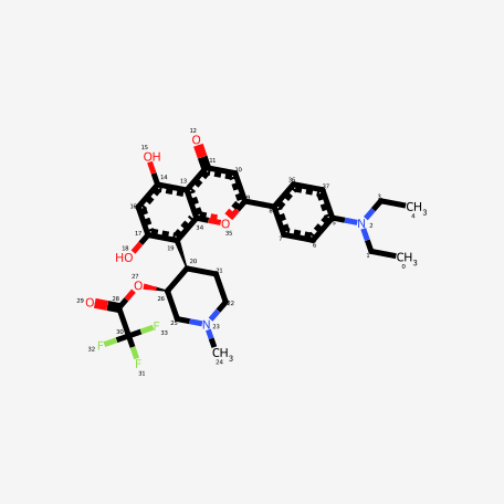 CCN(CC)c1ccc(-c2cc(=O)c3c(O)cc(O)c([C@H]4CCN(C)C[C@H]4OC(=O)C(F)(F)F)c3o2)cc1